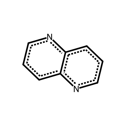 c1cnc2cccnc2c1